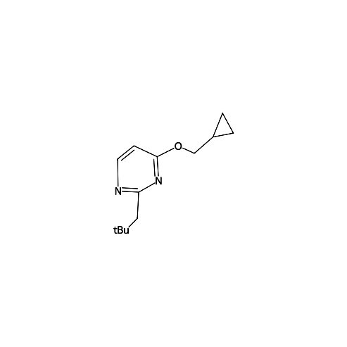 CC(C)(C)Cc1nccc(OCC2CC2)n1